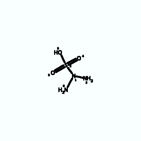 NN(N)S(=O)(=O)O